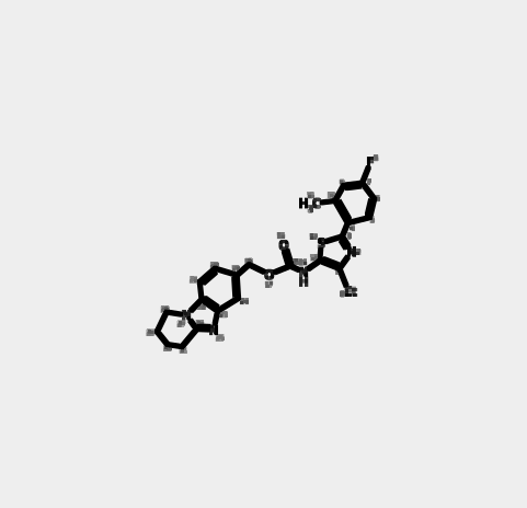 CCc1nc(-c2ccc(F)cc2C)sc1NC(=O)OCc1ccc2c(c1)nc1n2CCCC1